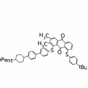 CCCCCC1CCC(c2ccc(-c3ccc(Sc4c(C)c(C)cc5c4C(=O)c4c(Sc6ccc(C(C)(C)C)cc6)cccc4C5=O)cc3)cc2)CC1